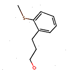 CSc1ccccc1CCC[O]